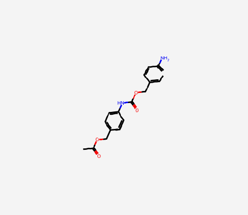 C=C(N)/C=C\C(=C/C)COC(=O)Nc1ccc(COC(C)=O)cc1